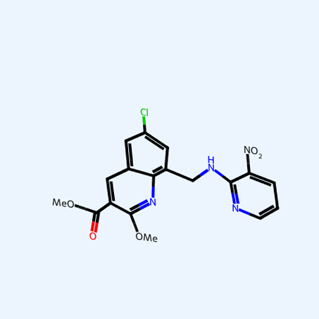 COC(=O)c1cc2cc(Cl)cc(CNc3ncccc3[N+](=O)[O-])c2nc1OC